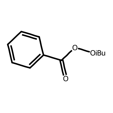 C[C](C)COOC(=O)c1ccccc1